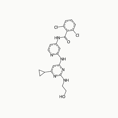 O=C(Nc1ccnc(Nc2cc(C3CC3)nc(NCCO)n2)c1)c1c(Cl)cccc1Cl